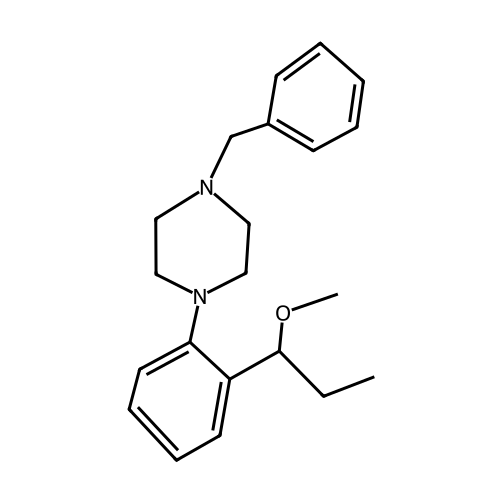 CCC(OC)c1ccccc1N1CCN(Cc2ccccc2)CC1